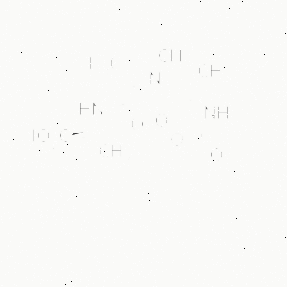 C[C@H](NC(=O)[C@H](C)N(C)C(=O)[C@H](C)NC(=O)OCc1ccccc1)C(=O)O